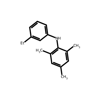 CCc1cccc(Nc2c(C)cc(C)cc2C)c1